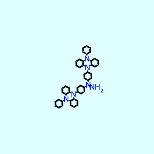 NN(c1ccc(N2c3ccccc3N(c3ccccc3)c3ccccc32)cc1)c1ccc(N2c3ccccc3N(c3ccccc3)c3ccccc32)cc1